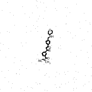 CN(CC#N)C(=O)c1cccc(-c2cc(-c3ccc(CNC4CCOCC4)cc3)on2)c1